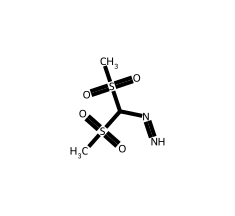 CS(=O)(=O)C(N=N)S(C)(=O)=O